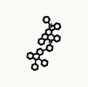 c1ccc(-c2c(-c3ccccc3)c3cc(-c4cccc(N(c5ccccc5-c5cccc6c5c5ccccc5n6-c5ccccc5)c5cccc6ccccc56)c4)ccc3c3ccccc23)cc1